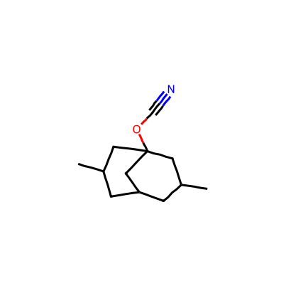 CC1CC2CC(C)CC(OC#N)(C1)C2